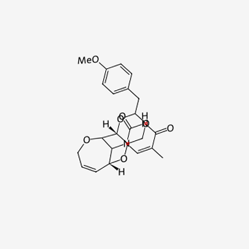 COc1ccc(CC2OCC3O[C@@H]4C=CCOC(C4n4cc(C)c(=O)[nH]c4=O)[C@@H]3O2)cc1